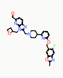 Cc1nc2cc(F)c(COc3cccc(C4CCN(Cc5nc6ccc(C=O)nc6n5CC5CCO5)CC4)n3)cc2o1